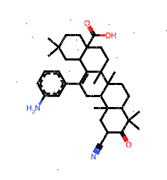 CC1(C)CCC2(C(=O)O)CCC3(C)C(=C(c4cccc(N)c4)CC4C5(C)CC(C#N)C(=O)C(C)(C)C5CCC43C)C2C1